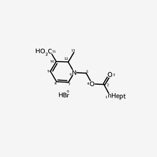 Br.CCCCCCCC(=O)OCN1C=CC=C(C(=O)O)C1C